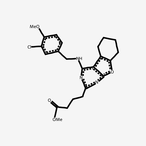 COC(=O)CCCc1nc(NCc2ccc(OC)c(Cl)c2)c2c3c(oc2n1)CCCC3